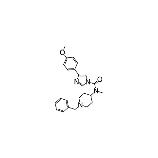 COc1ccc(-c2cn(C(=O)N(C)C3CCN(Cc4ccccc4)CC3)cn2)cc1